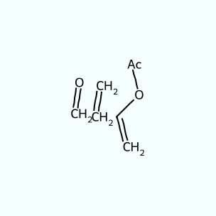 C=C.C=COC(C)=O.C=O